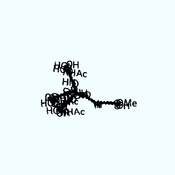 COP(=O)(O)OCCCCCCCCCCc1cn(CCCCCCCC(=O)N2CCC(C(=O)NC(COCCC(=O)NCCCCCCOC3OC(CO)C(O)C(O)C3NC(C)=O)(COCCC(=O)NCCCCCCOC3OC(CO)C(O)C(O)C3NC(C)=O)COCCC(=O)NCCCCCCOC3OC(CO)C(O)C(O)C3NC(C)=O)CC2)nn1